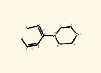 C/C=C\C(=C/C)N1CCOCC1